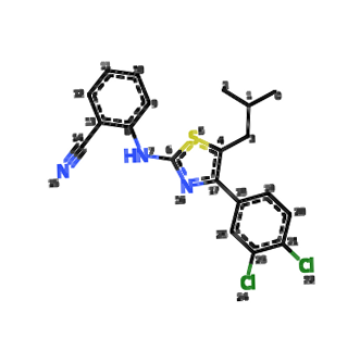 CC(C)Cc1sc(Nc2ccccc2C#N)nc1-c1ccc(Cl)c(Cl)c1